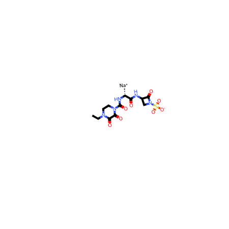 CCN1CCN(C(=O)N[C@H](C)C(=O)NC2CN(S(=O)(=O)[O-])C2=O)C(=O)C1=O.[Na+]